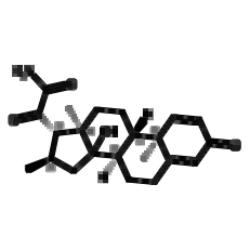 C[C@@H]1CC2(O)[C@@H]3CCC4=CC(=O)C=C[C@]4(C)[C@H]3CC[C@]2(C)[C@H]1C(=O)C(N)=O